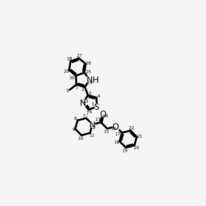 Cc1c(-c2csc([C@H]3CCCCN3C(=O)COc3ccccc3)n2)[nH]c2ccccc12